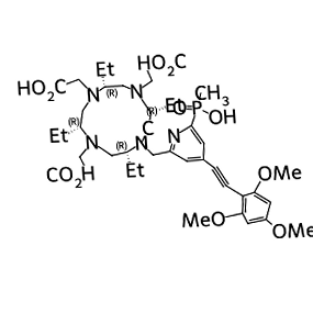 CC[C@@H]1CN(CC(=O)O)[C@H](CC)CN(Cc2cc(C#Cc3c(OC)cc(OC)cc3OC)cc(P(C)(=O)O)n2)[C@H](CC)CN(CC(=O)O)[C@H](CC)CN1CC(=O)O